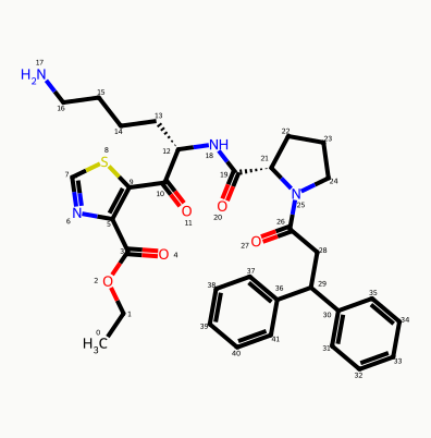 CCOC(=O)c1n[c]sc1C(=O)[C@H](CCCCN)NC(=O)[C@@H]1CCCN1C(=O)CC(c1ccccc1)c1ccccc1